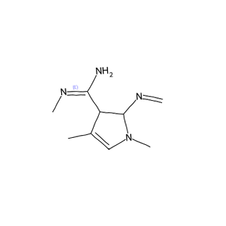 C=NC1C(/C(N)=N\C)C(C)=CN1C